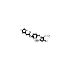 CCCCc1nc(Cl)c(C=O)n1Cc1ccc(OC(=O)CC2CCCC2)cc1